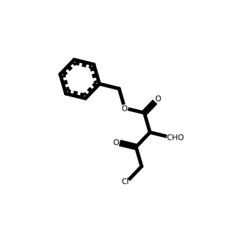 O=CC(C(=O)CCl)C(=O)OCc1ccccc1